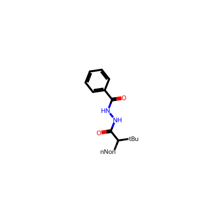 CCCCCCCCCC(C(=O)NNC(=O)c1ccccc1)C(C)(C)C